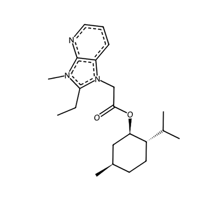 CCc1n(CC(=O)O[C@@H]2C[C@H](C)CC[C@H]2C(C)C)c2cccnc2[n+]1C